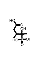 CC(CC(=O)O)C(C)(O)P(=O)(O)O